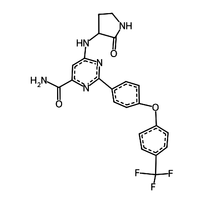 NC(=O)c1cc(NC2CCNC2=O)nc(-c2ccc(Oc3ccc(C(F)(F)F)cc3)cc2)n1